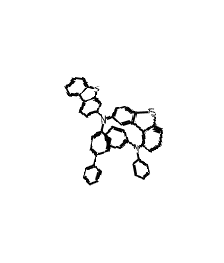 c1ccc(-c2ccc(N(c3ccc4c(c3)sc3ccccc34)c3ccc4sc5cccc(N(c6ccccc6)c6ccccc6)c5c4c3)cc2)cc1